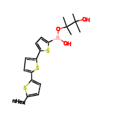 CCCCCCc1ccc(-c2ccc(-c3ccc(B(O)OC(C)(C)C(C)(C)O)s3)s2)s1